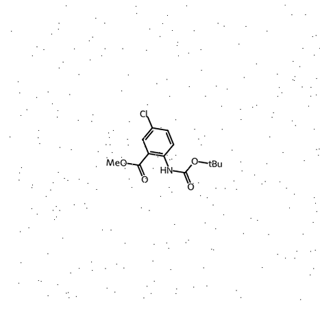 COC(=O)c1cc(Cl)ccc1NC(=O)OC(C)(C)C